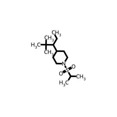 CCC(C1CCN(S(=O)(=O)C(C)C)CC1)C(C)(C)C